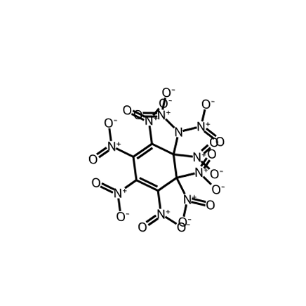 O=[N+]([O-])C1=C([N+](=O)[O-])C(N([N+](=O)[O-])[N+](=O)[O-])([N+](=O)[O-])C([N+](=O)[O-])([N+](=O)[O-])C([N+](=O)[O-])=C1[N+](=O)[O-]